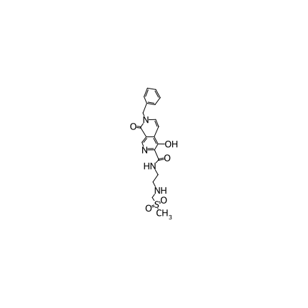 CS(=O)(=O)CNCCNC(=O)c1ncc2c(=O)n(Cc3ccccc3)ccc2c1O